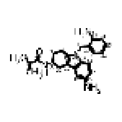 CC(C)C(=O)N[C@H]1CCc2c(c3cc(N)ccc3n2Cc2ccccc2N)C1